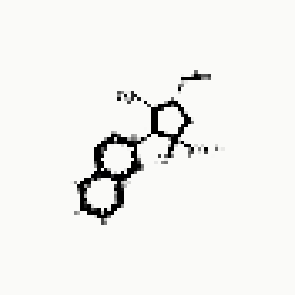 CCOC(=O)[C@]1(C(C)=O)C[C@@H](CC(C)=O)[C@@H]([N+](=O)[O-])[C@@H]1c1ccc2ccccc2c1